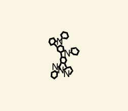 c1ccc(-n2c3ccccc3c3cc4c5cc6c(cc5n(-c5ccccc5)c4cc32)c2cccnc2n2c3ccccc3nc62)cc1